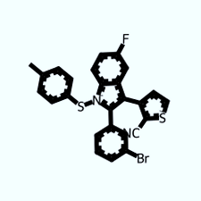 Cc1ccc(Sn2c(-c3cccc(Br)c3)c(-c3ccsc3C#N)c3cc(F)ccc32)cc1